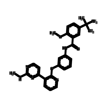 CNc1nccc(-c2cccnc2Oc2cccc(NC(=O)c3cc(C(C)(C)C)ccc3OC)c2)n1